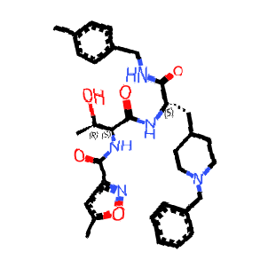 Cc1ccc(CNC(=O)[C@H](CC2CCN(Cc3ccccc3)CC2)NC(=O)[C@@H](NC(=O)c2cc(C)on2)[C@@H](C)O)cc1